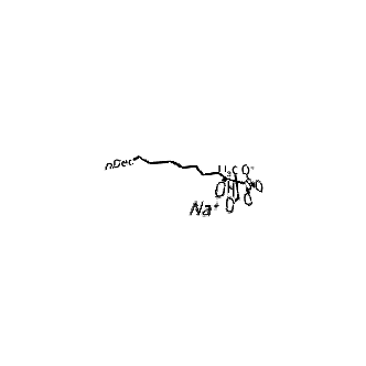 CCCCCCCCCCCCCCCCCC(=O)C(C)(CO)S(=O)(=O)[O-].[Na+]